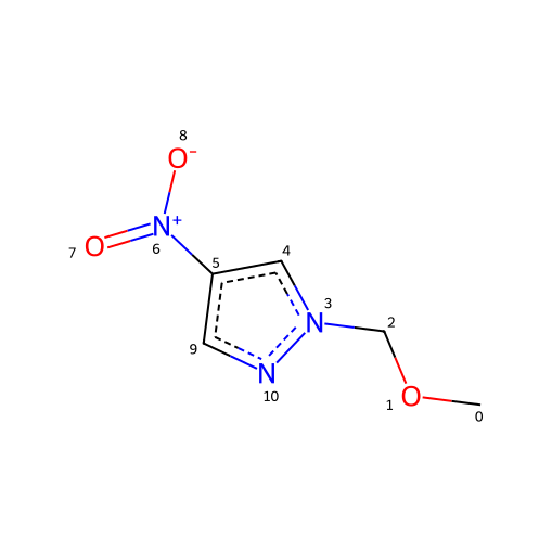 COCn1cc([N+](=O)[O-])cn1